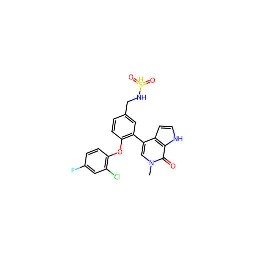 Cn1cc(-c2cc(CN[SH](=O)=O)ccc2Oc2ccc(F)cc2Cl)c2cc[nH]c2c1=O